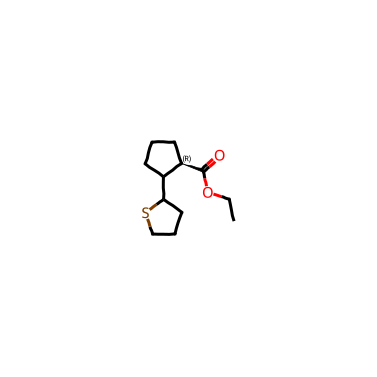 CCOC(=O)[C@@H]1CCCC1C1CCCS1